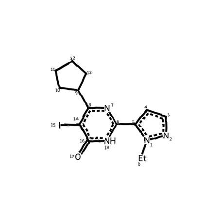 CCn1nccc1-c1nc(C2CCCC2)c(I)c(=O)[nH]1